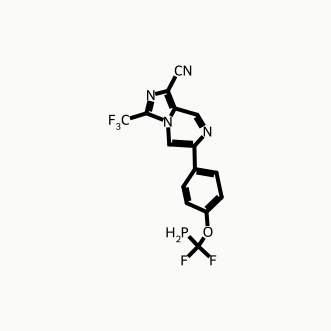 N#Cc1nc(C(F)(F)F)n2cc(-c3ccc(OC(F)(F)P)cc3)ncc12